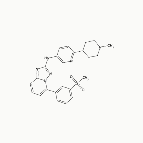 CN1CCC(c2ccc(Nc3nc4cccc(-c5cccc(S(C)(=O)=O)c5)n4n3)cn2)CC1